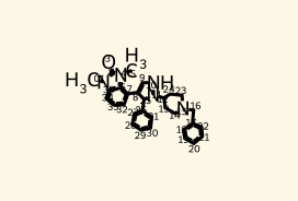 Cn1c(=O)n(C)c2c(C3=CNN(C4CCN(Cc5ccccc5)CC4)C3c3ccccc3)cccc21